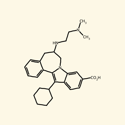 CN(C)CCNC1Cc2ccccc2-c2c(C3CCCCC3)c3ccc(C(=O)O)cc3n2C1